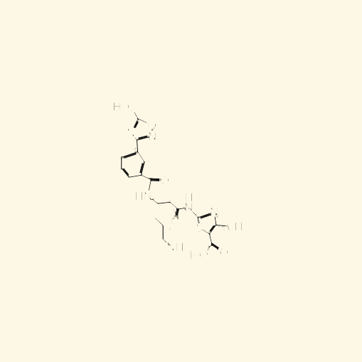 Cc1nc(-c2cccc(C(=O)N[C@@H](CCCN)CC(=O)Nc3nc(C)c(C(=O)O)s3)c2)no1